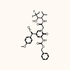 COc1ccc(C(=C=O)c2cc(NC(=O)OCc3ccccc3)c(=O)n(CC(=O)NC(C(C)C)C(O)C(F)(F)F)c2)cc1